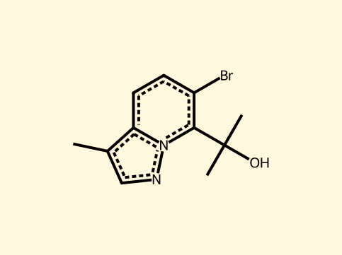 Cc1cnn2c(C(C)(C)O)c(Br)ccc12